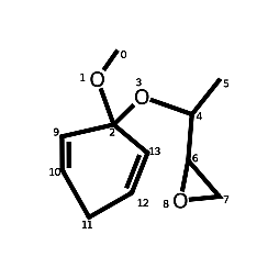 COC1(OC(C)C2CO2)C=CCC=C1